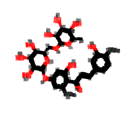 COc1ccc(/C=C/C(=O)c2c(O)cc(O[C@H]3O[C@@H](CO[C@@H]4O[C@H](C)[C@@H](O)[C@@H](O)[C@@H]4O)[C@H](O)[C@@H](O)[C@@H]3O)cc2OC)cc1O